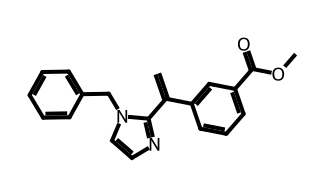 C=C(c1cccc(C(=O)OC)c1)c1nccn1Cc1ccccc1